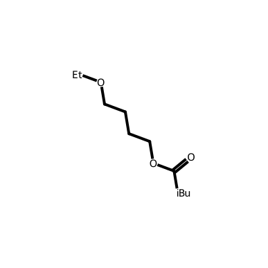 CCOCCCCOC(=O)C(C)CC